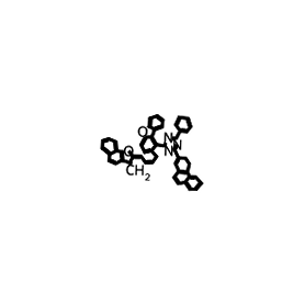 C=c1/c(=C\C=C/Cc2ccc3oc4ccccc4c3c2-c2nc(C3=Cc4ccc5ccccc5c4CC3)nc(-c3ccccc3)n2)oc2c1ccc1ccccc12